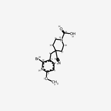 COc1ccc(CC2(C#N)CCN(C(=O)O)CC2)c(Br)n1